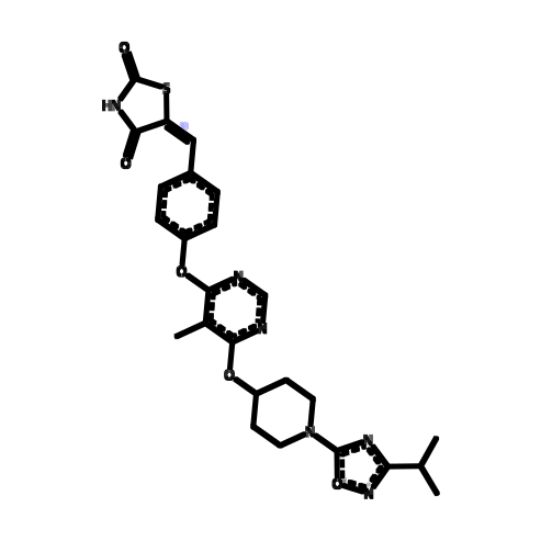 Cc1c(Oc2ccc(/C=C3/SC(=O)NC3=O)cc2)ncnc1OC1CCN(c2nc(C(C)C)no2)CC1